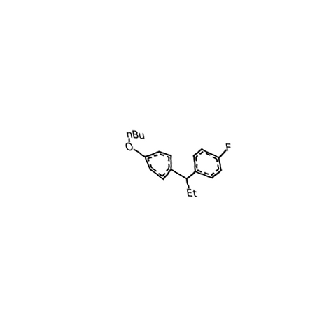 CCCCOc1ccc(C(CC)c2ccc(F)cc2)cc1